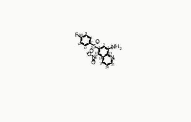 Nc1cc(S(=O)(=O)c2ccc(F)cc2)c([N+](=O)[O-])c2cccnc12